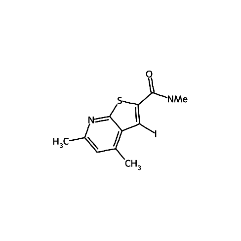 CNC(=O)c1sc2nc(C)cc(C)c2c1I